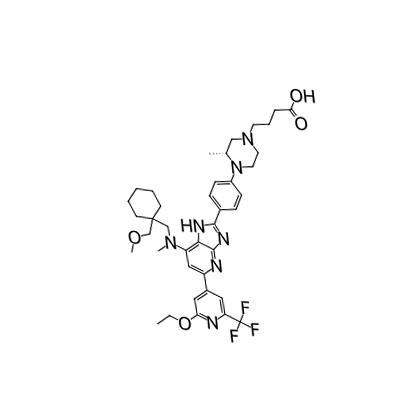 CCOc1cc(-c2cc(N(C)CC3(COC)CCCCC3)c3[nH]c(-c4ccc(N5CCN(CCCC(=O)O)C[C@H]5C)cc4)nc3n2)cc(C(F)(F)F)n1